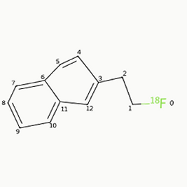 [18F]CCc1ccc2ccccc2c1